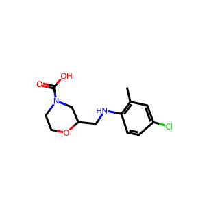 Cc1cc(Cl)ccc1NCC1CN(C(=O)O)CCO1